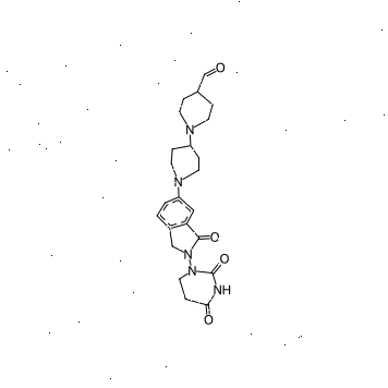 O=CC1CCN(C2CCN(c3ccc4c(c3)C(=O)N(N3CCC(=O)NC3=O)C4)CC2)CC1